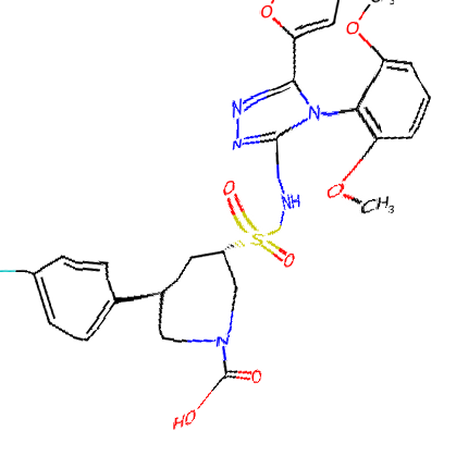 COc1cccc(OC)c1-n1c(NS(=O)(=O)[C@H]2C[C@H](c3ccc(F)cc3)CN(C(=O)O)C2)nnc1-c1ccco1